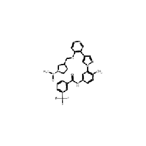 Cc1ccc(NC(=O)c2cccc(C(F)(F)F)c2)cc1-n1cc(-c2cnccc2OCC2CCN([S+](C)[O-])C2)cn1